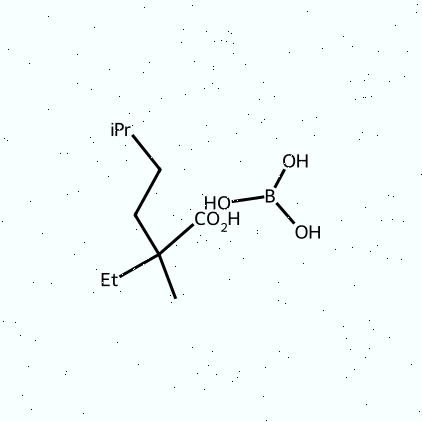 CCC(C)(CCC(C)C)C(=O)O.OB(O)O